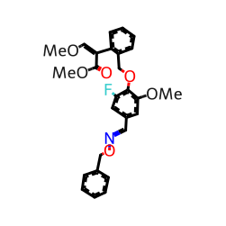 COC=C(C(=O)OC)c1ccccc1COc1c(F)cc(C=NOCc2ccccc2)cc1OC